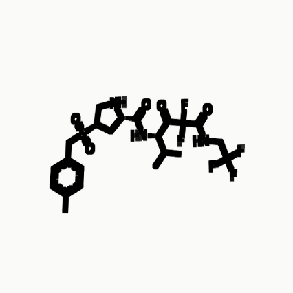 Cc1ccc(CS(=O)(=O)[C@H]2CN[C@H](C(=O)N[C@H](C(=O)C(F)(F)C(=O)NCC(F)(F)F)C(C)C)C2)cc1